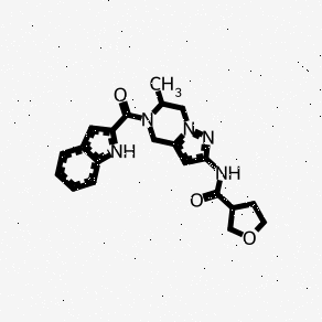 CC1Cn2nc(NC(=O)C3CCOC3)cc2CN1C(=O)c1cc2ccccc2[nH]1